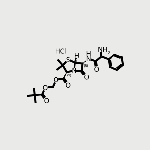 CC(C)(C)C(=O)OCOC(=O)[C@@H]1N2C(=O)[C@@H](NC(=O)C(N)c3ccccc3)[C@H]2SC1(C)C.Cl